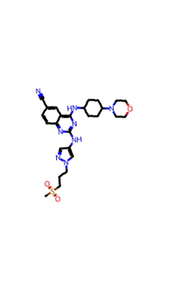 CS(=O)(=O)CCCn1cc(Nc2nc(NC3CCC(N4CCOCC4)CC3)c3cc(C#N)ccc3n2)cn1